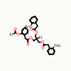 CCC(=O)Oc1ccccc1CC(=O)OCC(CC)(COC(=O)Cc1ccccc1OC(C)=O)COC(=O)Cc1ccccc1OC(C)=O